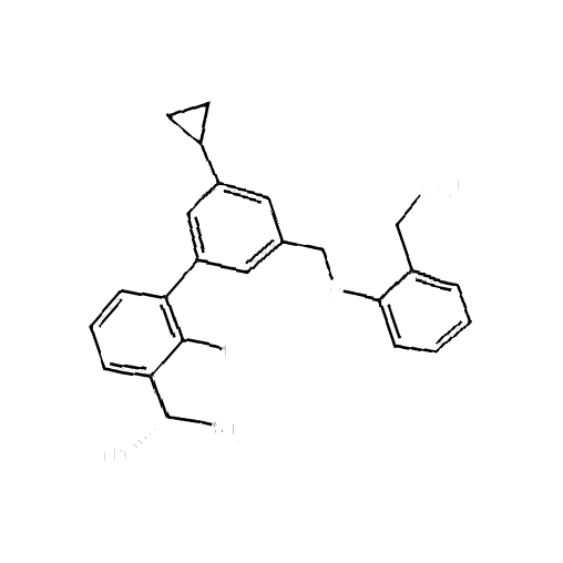 CCC[C@@H](N)c1cccc(-c2cc(COc3ccccc3CC(=O)O)cc(C3CC3)c2)c1F